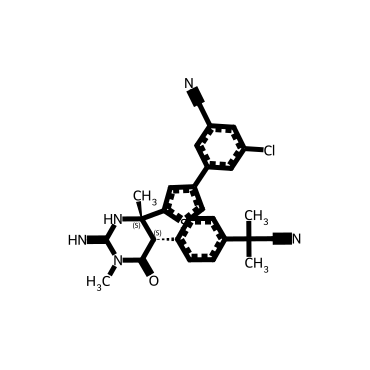 CN1C(=N)N[C@](C)(c2cc(-c3cc(Cl)cc(C#N)c3)cs2)[C@H](c2ccc(C(C)(C)C#N)cc2)C1=O